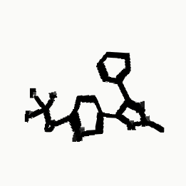 Cn1nc(-c2ccccc2)c(-c2ccc(OC(F)(F)F)nc2)n1